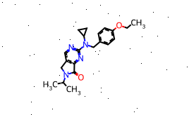 CCOc1ccc(CN(c2ncc3c(n2)C(=O)N(C(C)C)C3)C2CC2)cc1